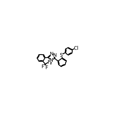 Cn1c(-c2ccccc2Sc2ccc(Cl)cc2)nnc1-c1ccccc1C(F)(F)F